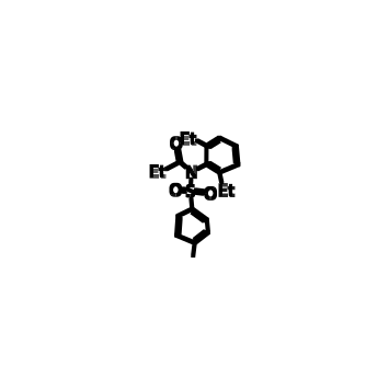 CCC(=O)N(c1c(CC)cccc1CC)S(=O)(=O)c1ccc(C)cc1